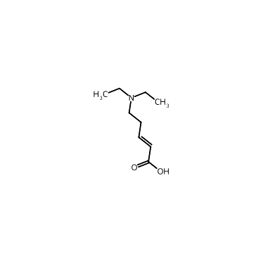 CCN(CC)CCC=CC(=O)O